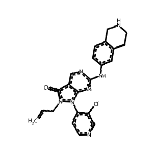 C=CCn1c(=O)c2cnc(Nc3ccc4c(c3)CCNC4)nc2n1-c1ccncc1Cl